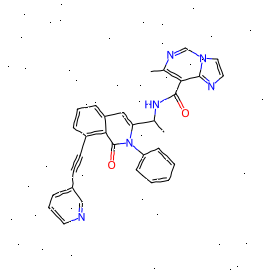 Cc1ncn2ccnc2c1C(=O)NC(C)c1cc2cccc(C#Cc3cccnc3)c2c(=O)n1-c1ccccc1